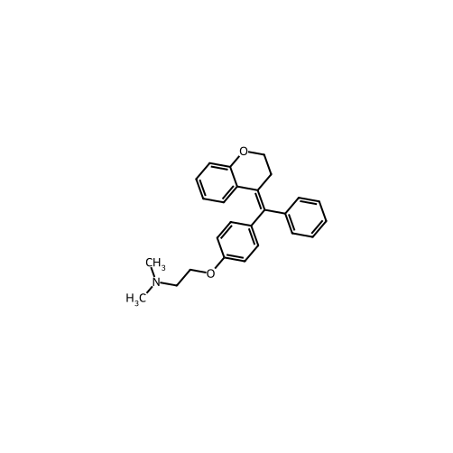 CN(C)CCOc1ccc(C(=C2CCOc3ccccc32)c2ccccc2)cc1